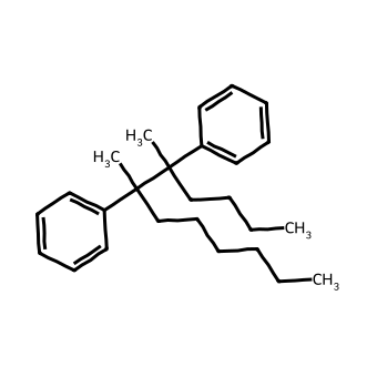 CCCCCCC(C)(c1ccccc1)C(C)(CCCC)c1ccccc1